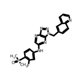 CP(C)(=O)c1ccc(Nc2cnc3nnn(Cc4ccc5ncccc5c4)c3n2)cc1F